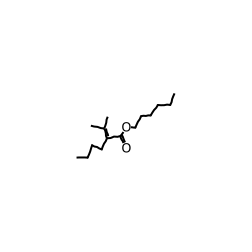 CCCCCCOC(=O)C(CCCC)=C(C)C